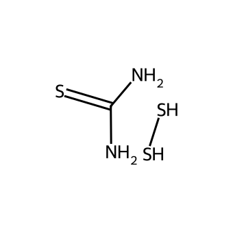 NC(N)=S.SS